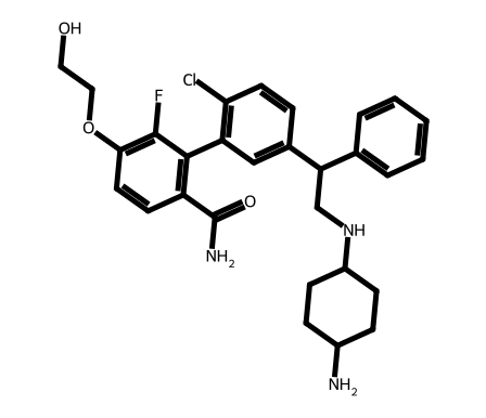 NC(=O)c1ccc(OCCO)c(F)c1-c1cc(C(CNC2CCC(N)CC2)c2ccccc2)ccc1Cl